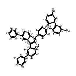 Fc1ccc2c(c1)c1cc(F)ccc1n2-c1ccc(-n2c3ccc(-c4ccccc4)cc3c3c4cc(-c5ccccc5)ccc4oc32)cc1